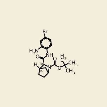 CC(C)(C)OC(=O)N1C2CC[C@@H](C2)[C@H]1C(=O)Nc1ccc(Br)cc1N